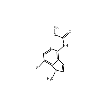 Cn1ccc2c(NC(=O)OC(C)(C)C)ncc(Br)c21